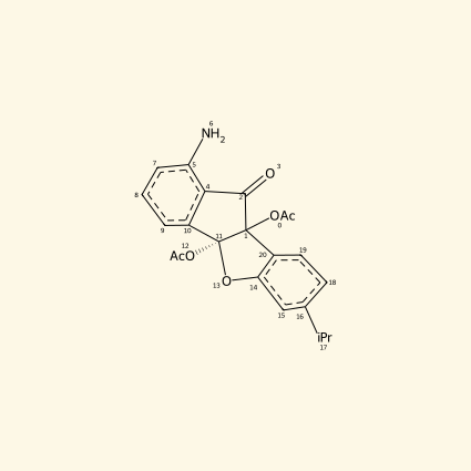 CC(=O)OC12C(=O)c3c(N)cccc3[C@]1(OC(C)=O)Oc1cc(C(C)C)ccc12